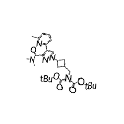 Cc1cccc(-c2cn(C3CC(CN(C(=O)OC(C)(C)C)C(=O)OC(C)(C)C)C3)nc2C(=O)N(C)C)n1